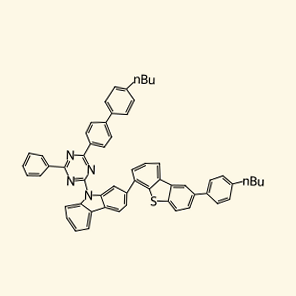 CCCCc1ccc(-c2ccc(-c3nc(-c4ccccc4)nc(-n4c5ccccc5c5ccc(-c6cccc7c6sc6ccc(-c8ccc(CCCC)cc8)cc67)cc54)n3)cc2)cc1